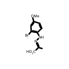 COc1ccc(NN=C(C)C(=O)O)c(Br)c1